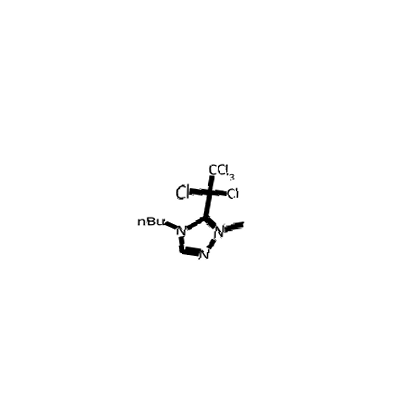 CCCCN1C=NN(C)C1C(Cl)(Cl)C(Cl)(Cl)Cl